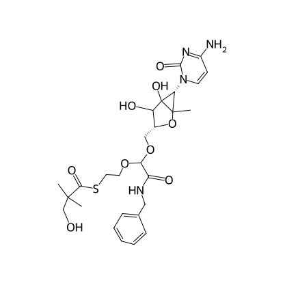 CC(C)(CO)C(=O)SCCOC(OC[C@H]1OC2(C)[C@@H](n3ccc(N)nc3=O)C2(O)C1O)C(=O)NCc1ccccc1